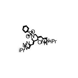 CC(C)n1cc(C=C2CN(S(=O)(=O)c3ccccc3)CC(=Cc3cn(C(C)C)nn3)C2=O)nn1